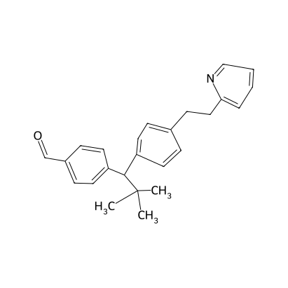 CC(C)(C)C(c1ccc(C=O)cc1)c1ccc(CCc2ccccn2)cc1